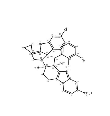 O=C(O)c1ccn2c3c(nc2c1)[C@@H]1C(c2cccc(Cl)c2F)[C@@]2(C(=O)Nc4cc(Cl)ccc42)N(CC2CC2)[C@@H]1CC3